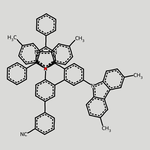 Cc1ccc2c(c1)c1cc(C)ccc1n2-c1ccc(-c2nc(-c3ccccc3)nc(-c3ccccc3)n2)c(-c2cc(-c3cccc(C#N)c3)ccc2-n2c3ccc(C)cc3c3cc(C)ccc32)c1